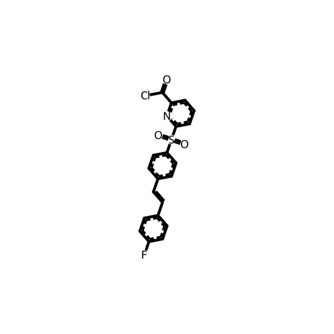 O=C(Cl)c1cccc(S(=O)(=O)c2ccc(/C=C/c3ccc(F)cc3)cc2)n1